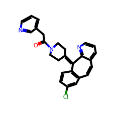 O=C(Cc1cccnc1)N1CCC(=C2c3ccc(Cl)cc3C=Cc3cccnc32)CC1